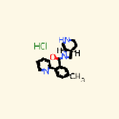 Cc1ccc(-c2ccccn2)c(C(=O)N2C[C@@H]3CCNC[C@@H]32)c1.Cl